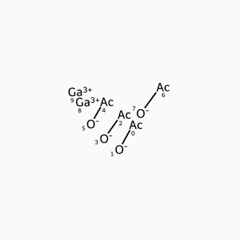 CC(=O)[O-].CC(=O)[O-].CC(=O)[O-].CC(=O)[O-].[Ga+3].[Ga+3]